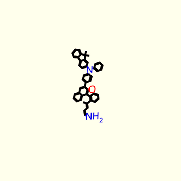 C/C(=C\C=C/N)c1cccc2oc3c(-c4ccc(N(c5ccccc5)c5ccc6c(c5)C(C)(C)c5ccccc5-6)cc4)cc4ccccc4c3c12